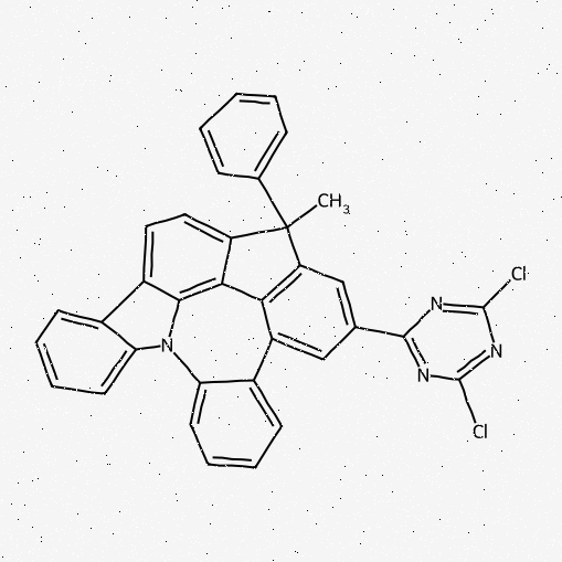 CC1(c2ccccc2)c2cc(-c3nc(Cl)nc(Cl)n3)cc3c2-c2c1ccc1c4ccccc4n(c21)-c1ccccc1-3